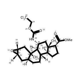 COC(=O)[C@H]1CC[C@H]2[C@@H]3CC[C@H]4C[C@@H]5O[C@@H]5C[C@]4(C)[C@H]3[C@H](NC(=O)OCC(Cl)(Cl)Cl)C[C@]12C